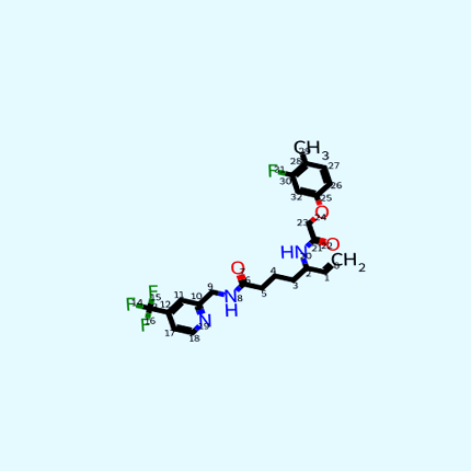 C=CC(CCCC(=O)NCc1cc(C(F)(F)F)ccn1)NC(=O)COc1ccc(C)c(F)c1